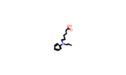 CCCN(CCCCCC(=O)O)c1ccccc1